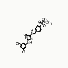 CN(C)S(=O)(=O)c1ccc(CNc2nc(Nc3cc(Cl)cc(Cl)c3)n[nH]2)cc1